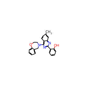 Cc1ccc2c(N3CCOc4ccccc4C3)nc(-c3ccccc3O)nc2c1